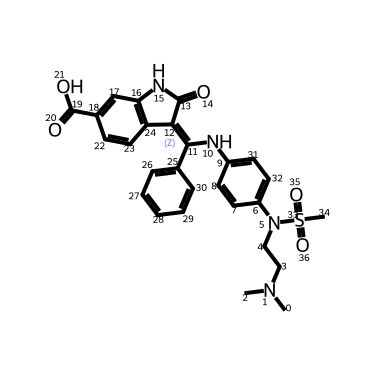 CN(C)CCN(c1ccc(N/C(=C2\C(=O)Nc3cc(C(=O)O)ccc32)c2ccccc2)cc1)S(C)(=O)=O